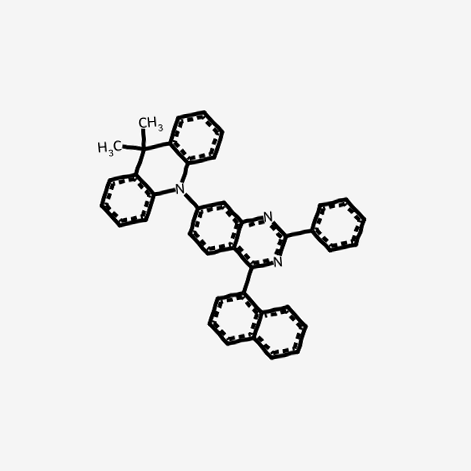 CC1(C)c2ccccc2N(c2ccc3c(-c4cccc5ccccc45)nc(-c4ccccc4)nc3c2)c2ccccc21